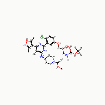 COC(=O)N1CCC(Nc2nc(-c3cc(OCC(O)CN(C)C(=O)OC(C)(C)C)ccc3Cl)nc(-c3c(C)noc3C)c2Cl)CC1